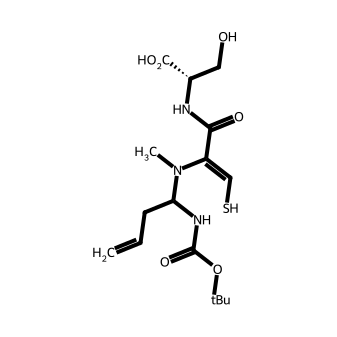 C=CCC(NC(=O)OC(C)(C)C)N(C)/C(=C\S)C(=O)N[C@@H](CO)C(=O)O